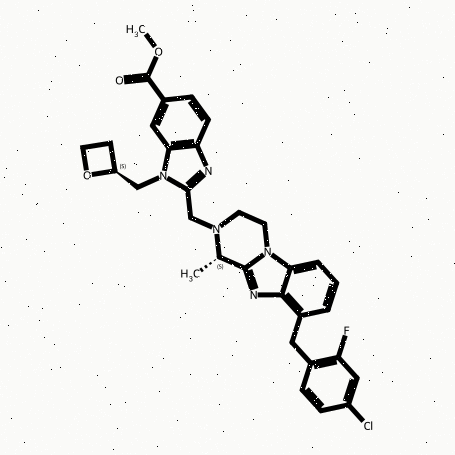 COC(=O)c1ccc2nc(CN3CCn4c(nc5c(Cc6ccc(Cl)cc6F)cccc54)[C@@H]3C)n(C[C@@H]3CCO3)c2c1